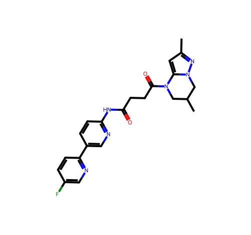 Cc1cc2n(n1)CC(C)CN2C(=O)CCC(=O)Nc1ccc(-c2ccc(F)cn2)cn1